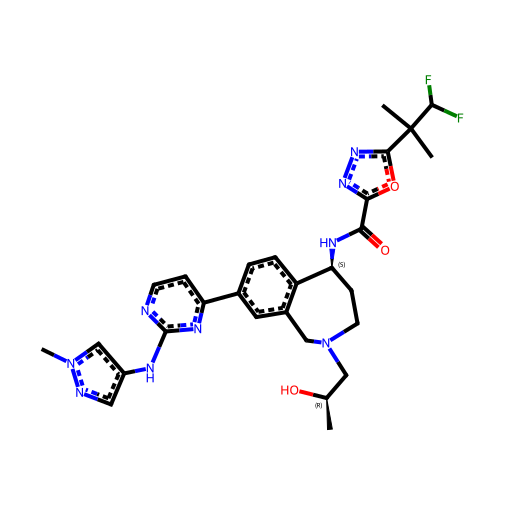 C[C@@H](O)CN1CC[C@H](NC(=O)c2nnc(C(C)(C)C(F)F)o2)c2ccc(-c3ccnc(Nc4cnn(C)c4)n3)cc2C1